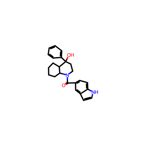 O=C(c1ccc2[nH]ccc2c1)N1CCC(O)(c2ccccc2)C2CCCCC21